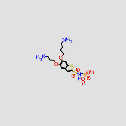 NCCCCOc1cc2sc(S(=O)(=O)NCP(=O)(O)O)cc2cc1OCCCN